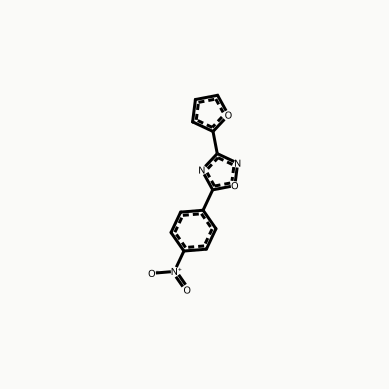 O=[N+]([O-])c1ccc(-c2nc(-c3ccco3)no2)cc1